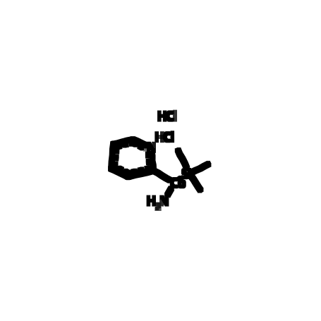 C[Si](C)(C)[Co]([NH2])[c]1ccccn1.Cl.Cl